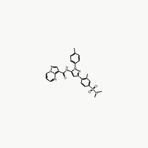 Cc1ccc(-n2nc(-c3ccc(S(=O)(=O)N(C)C)cc3C)cc2NC(=O)c2cnn3cccnc23)cc1